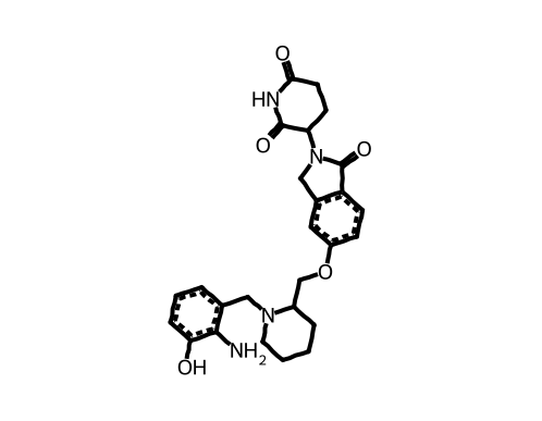 Nc1c(O)cccc1CN1CCCCC1COc1ccc2c(c1)CN(C1CCC(=O)NC1=O)C2=O